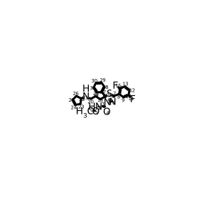 CONC(=O)N1N=C(c2cc(F)ccc2F)SC1(CCCNC1CC=CC1)c1ccccc1